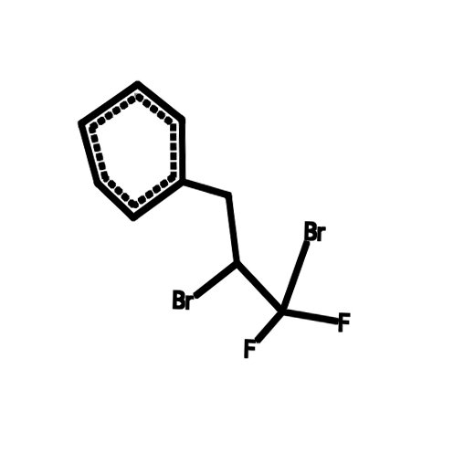 FC(F)(Br)C(Br)Cc1ccccc1